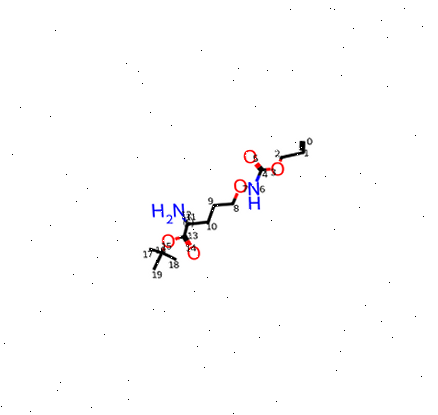 C=CCOC(=O)NOCCC[C@H](N)C(=O)OC(C)(C)C